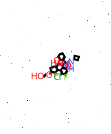 NC(=O)c1ccc(OCCO)c(F)c1-c1c(Cl)c(F)cc2c1[C@H](O)[C@@](CNC1CCC1)(c1ccccc1)O2